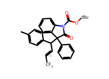 Cc1ccc(C(/C=C/C(F)(F)F)C2(c3ccccc3)C(=O)N(C(=O)OC(C)(C)C)c3ccccc32)cc1